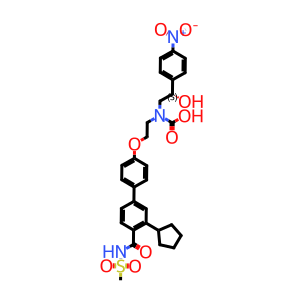 CS(=O)(=O)NC(=O)c1ccc(-c2ccc(OCCN(C[C@@H](O)c3ccc([N+](=O)[O-])cc3)C(=O)O)cc2)cc1C1CCCC1